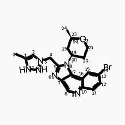 CC1=CN(Cc2nc3cnc4ccc(Br)cc4c3n2[C@@H]2CCO[C@H](C)C2)NN1